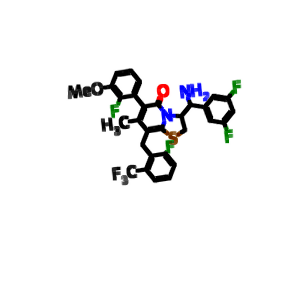 COc1cccc(-c2c(C)c(Cc3c(F)cccc3C(F)(F)F)c3n(c2=O)C(C(N)c2cc(F)cc(F)c2)CS3)c1F